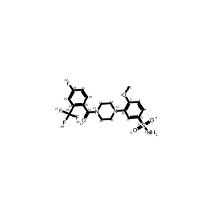 COc1ccc(S(N)(=O)=O)cc1N1CCN(C(=O)c2ccc(F)cc2C(F)(F)F)CC1